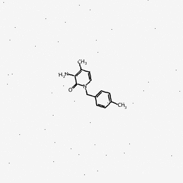 Cc1ccc(Cn2ccc(C)c(N)c2=O)cc1